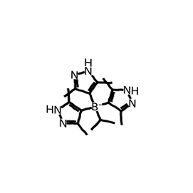 Cc1n[nH]c(C)c1[B-](c1c(C)n[nH]c1C)(c1c(C)n[nH]c1C)C(C)C